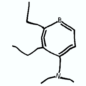 CCc1bccc(N(C)C)c1CC